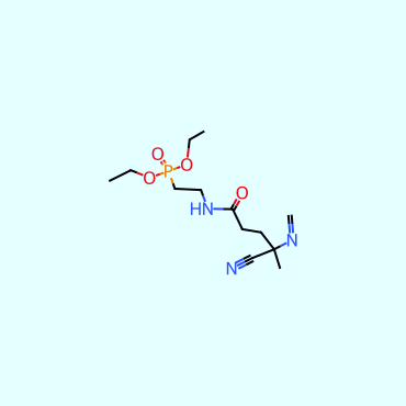 C=NC(C)(C#N)CCC(=O)NCCP(=O)(OCC)OCC